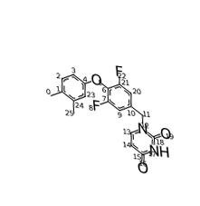 Cc1ccc(Oc2c(F)cc(Cn3ccc(=O)[nH]c3=O)cc2F)cc1C